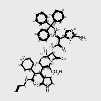 C=CCOC(=O)C(C(=C1CCNC1=O)C1=C(C(=O)O)N2C(=O)[C@@H](NC(=O)C(=NOC(c3ccccc3)(c3ccccc3)c3ccccc3)c3csc(N)n3)[C@H]2SC1)C1CCNCC1